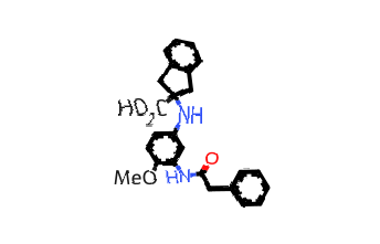 COc1ccc(NC2(C(=O)O)Cc3ccccc3C2)cc1NC(=O)Cc1ccccc1